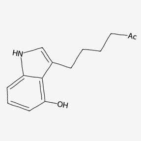 CC(=O)CCCCc1c[nH]c2cccc(O)c12